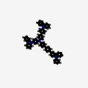 c1ccc(-n2c3ccccc3c3cc(-c4ccc(-c5ccc(N(c6ccc(-c7ccc(-n8c9ccccc9c9ccccc98)cc7)cc6)c6ccc(-n7c8ccccc8c8ccccc87)cc6)cc5)cc4)ccc32)cc1